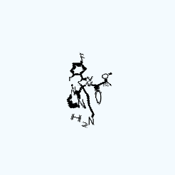 CO[C@@H](C)C(=O)N1N=C(c2cc(F)ccc2F)SC1(CCCN)c1nccn1C